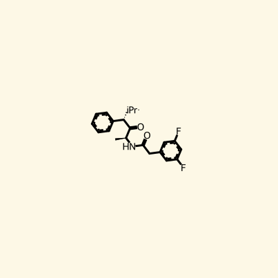 C[C](C)[C@H](C(=O)[C@H](C)NC(=O)Cc1cc(F)cc(F)c1)c1ccccc1